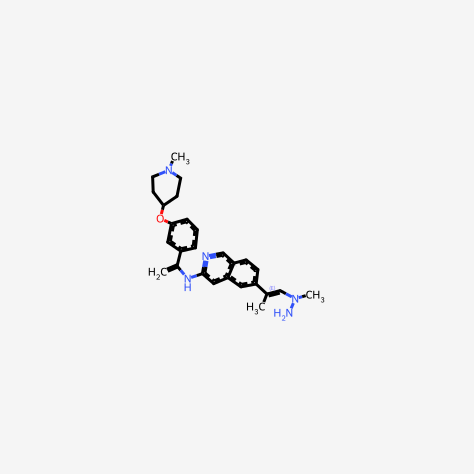 C=C(Nc1cc2cc(/C(C)=C/N(C)N)ccc2cn1)c1cccc(OC2CCN(C)CC2)c1